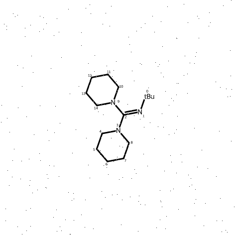 CC(C)(C)N=C(N1CCCCC1)N1CCCCC1